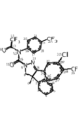 CC1(c2ccccc2)CN(C(=O)N(C(=O)C(F)(F)F)c2ccc(C(F)(F)F)cc2)N=C1c1ccc(C(F)(F)F)c(Cl)c1